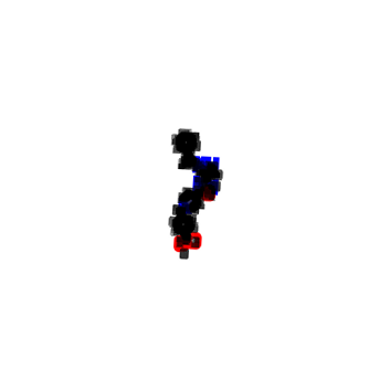 COC(=O)c1ccc(CN2CCC(c3nc(C4(CNC5CC5c5ccccc5)CC4)no3)CC2)cc1